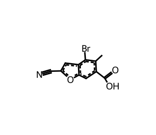 Cc1c(C(=O)O)cc2oc(C#N)cc2c1Br